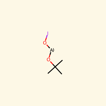 CC(C)(C)[O][Al][O]I